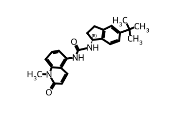 Cn1c(=O)ccc2c(NC(=O)N[C@@H]3CCc4cc(C(C)(C)C)ccc43)cccc21